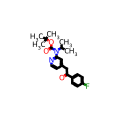 CC(C)N(C(=O)OC(C)(C)C)c1cc(CC(=O)c2ccc(F)cc2)ccn1